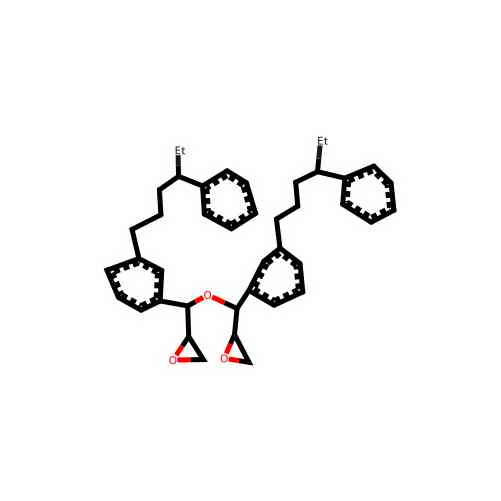 CCC(CCCc1cccc(C(OC(c2cccc(CCCC(CC)c3ccccc3)c2)C2CO2)C2CO2)c1)c1ccccc1